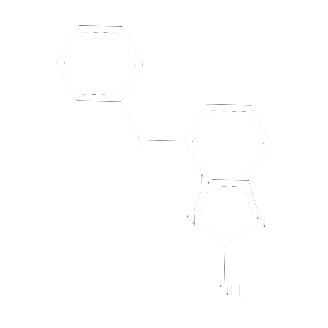 Nc1nc2cccc(Sc3ccccc3)n2n1